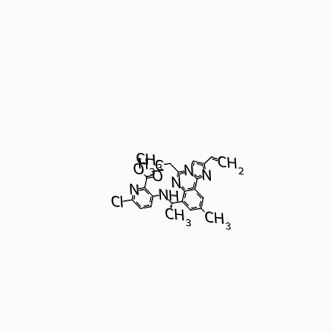 C=Cc1cn2c(CC)nc3c([C@@H](C)Nc4ccc(Cl)nc4C(=O)OC)cc(C)cc3c2n1